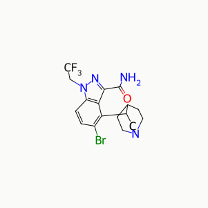 NC(=O)c1nn(CC(F)(F)F)c2ccc(Br)c(C3CN4CCC3CC4)c12